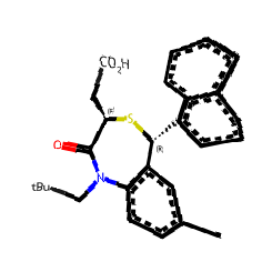 Cc1ccc2c(c1)[C@@H](c1cccc3ccccc13)S[C@H](CC(=O)O)C(=O)N2CC(C)(C)C